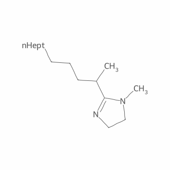 CCCCCCCCCCC(C)C1=NCCN1C